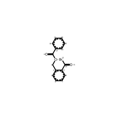 O=C(OCc1ccccc1C(=O)Br)c1ccccc1